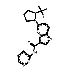 O=C(Nc1cccnn1)c1cnc2ccc(N3CCCC3C(F)(F)F)nn12